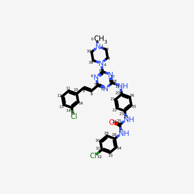 CN1CCN(c2nc(C=Cc3cccc(Cl)c3)nc(Nc3ccc(NC(=O)Nc4ccc(Cl)cc4)cc3)n2)CC1